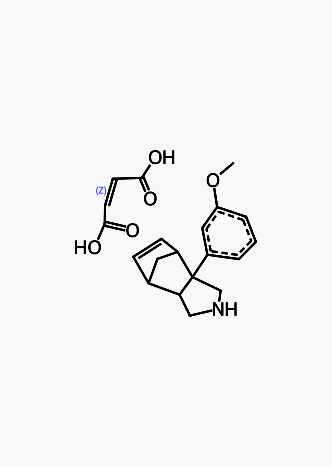 COc1cccc(C23CNCC2C2C=CC3C2)c1.O=C(O)/C=C\C(=O)O